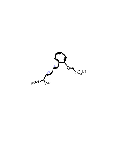 CCCCCCCCC(O)/C=C/C=C/c1ccccc1OCC(=O)OCC